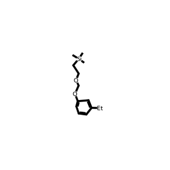 CCc1cccc(OCOCC[Si](C)(C)C)c1